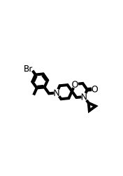 Cc1cc(Br)ccc1CN1CCC2(CC1)CN(C1CC1)C(=O)CO2